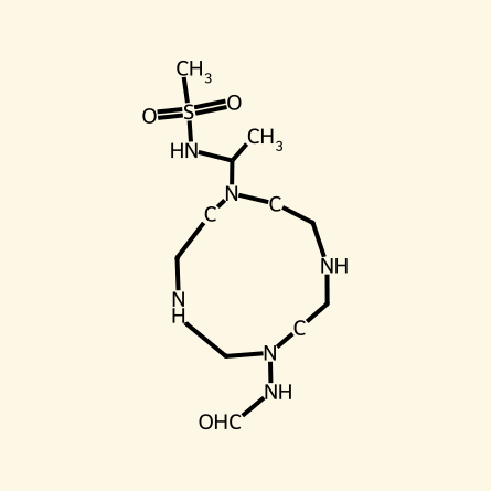 CC(NS(C)(=O)=O)N1CCNCCN(NC=O)CCNCC1